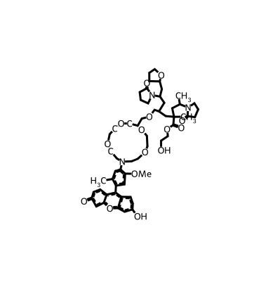 COc1cc(-c2c3ccc(=O)cc-3oc3cc(O)ccc23)c(C)cc1N1CCOCCOCC(COCC(CC(CC2CCCO2)N2CCCC2=O)CC(C)(CC(C)N2CCCC2=O)C(=O)OCCO)OCCOCC1